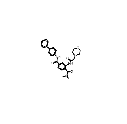 CN(C)C(=O)c1ccc(C(=O)Nc2ccc(-c3ccccc3)cc2)cc1NC(=O)CN1CCOCC1